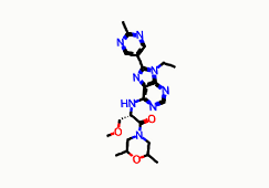 CCn1c(-c2cnc(C)nc2)nc2c(N[C@@H](COC)C(=O)N3CC(C)OC(C)C3)ncnc21